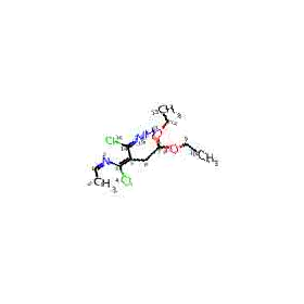 C/C=N\C(Cl)=C(\CC(OCC)OCC)C(=N)Cl